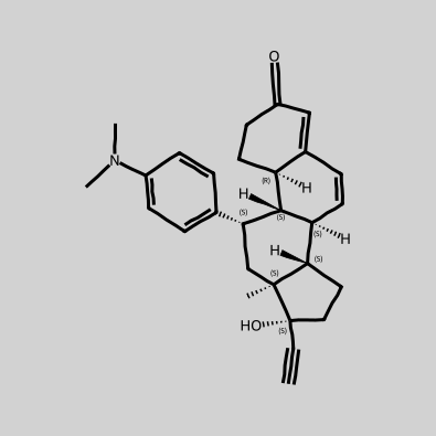 C#C[C@]1(O)CC[C@H]2[C@@H]3C=CC4=CC(=O)CC[C@@H]4[C@H]3[C@@H](c3ccc(N(C)C)cc3)C[C@@]21C